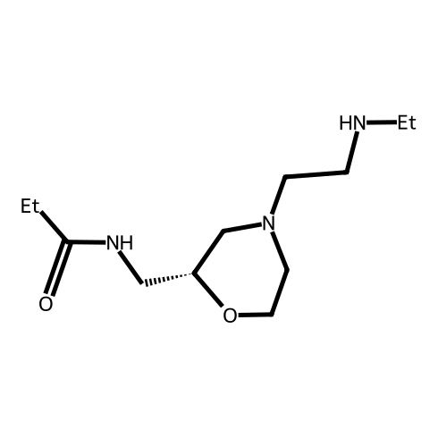 CCNCCN1CCO[C@H](CNC(=O)CC)C1